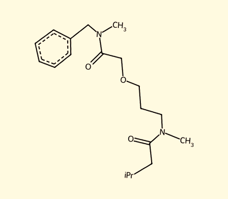 CC(C)CC(=O)N(C)CCCOCC(=O)N(C)Cc1ccccc1